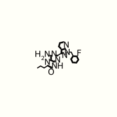 CCCc1nc2c(N)nc(-c3nn(Cc4ccccc4F)c4ncccc34)nc2[nH]c1=O